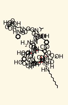 CCCCCCCCCCNCCN[C@@]1(C)C[C@H](O[C@H]2[C@H](Oc3c4cc5cc3Oc3ccc(cc3Cl)[C@@H](O)[C@@H](NC(=O)[C@@H](CC(C)C)N(C)C(=O)OCOC(=O)CN(CCCCC(P(=O)(O)O)P(=O)(O)O)C(=O)Nc3ccccc3)C(=O)N[C@@H](CC(N)=O)C(=O)N[C@H]5C(=O)N[C@H]3C(=O)N[C@H](C(=O)N[C@H](C(=O)O)c5cc(O)cc(O)c5-c5cc3ccc5O)[C@H](O)c3ccc(c(Cl)c3)O4)O[C@H](CO)[C@@H](O)[C@@H]2O)O[C@@H](C)[C@H]1O